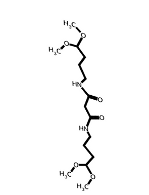 COC(CCCNC(=O)CC(=O)NCCCC(OC)OC)OC